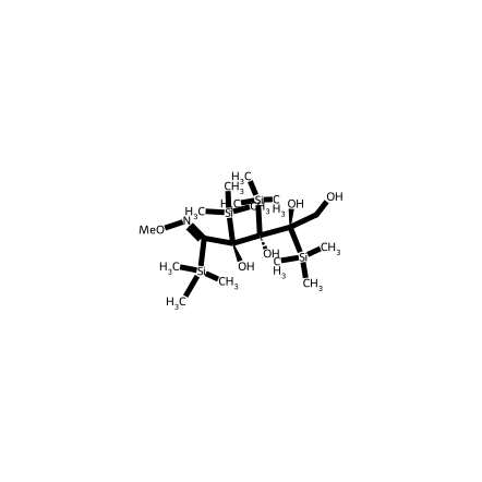 CON=C([C@@](O)([C@](O)([C@](O)(CO)[Si](C)(C)C)[Si](C)(C)C)[Si](C)(C)C)[Si](C)(C)C